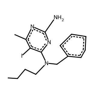 CCCCN(Cc1ccccc1)c1nc(N)nc(C)c1I